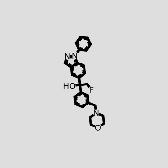 OC(CF)(c1cccc(CN2CCOCC2)c1)c1ccc2c(cnn2-c2ccccc2)c1